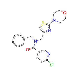 O=C(c1ccc(Cl)nc1)N(Cc1ccccc1)Cc1csc(N2CCOCC2)n1